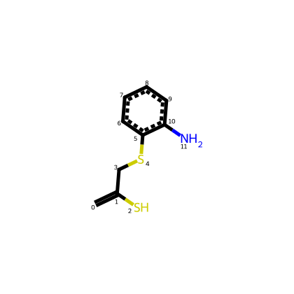 C=C(S)CSc1ccccc1N